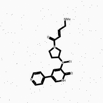 CCN(c1cc(-c2ccncc2)c[nH]c1=O)C1CCN(C(=O)/C=C/CNC)C1